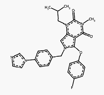 CC(C)Cn1c(=O)n(C)c(=O)c2c(Oc3ccc(F)cc3)n(Cc3ccc(-n4ccnc4)cc3)cc21